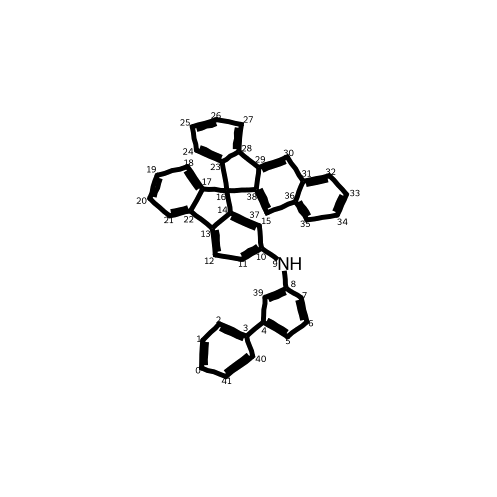 c1ccc(-c2cccc(Nc3ccc4c(c3)C3(c5ccccc5-4)c4ccccc4-c4cc5ccccc5cc43)c2)cc1